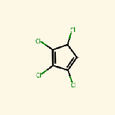 ClC1=[C]C(Cl)C(Cl)=C1Cl